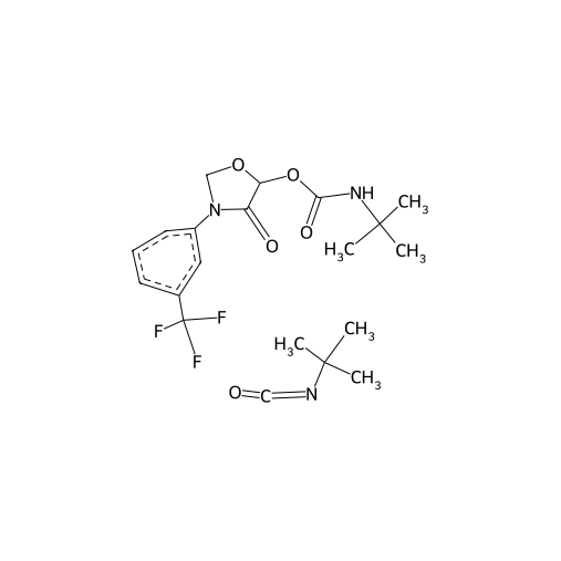 CC(C)(C)N=C=O.CC(C)(C)NC(=O)OC1OCN(c2cccc(C(F)(F)F)c2)C1=O